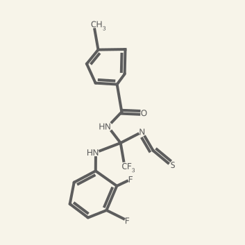 Cc1ccc(C(=O)NC(N=C=S)(Nc2cccc(F)c2F)C(F)(F)F)cc1